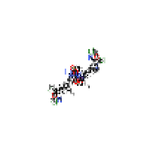 CC(C)(c1ccc(-c2ccc3c(N(c4ncc5cc(-c6ccc7c(ccn7-c7cc(Cl)c(OCCCl)c(C#N)c7)c6)ccc5n4)S(C)(=O)=O)nc(NS(C)(=O)=O)nc3c2)cc1)c1cc(Cl)c(OCCCl)c(C#N)c1